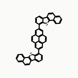 c1ccc2c(c1)ccc1c3cccc(-c4cc5ccc6cc(-c7cccc8c7sc7c9ccccc9ccc87)cc7ccc(c4)c5c67)c3sc21